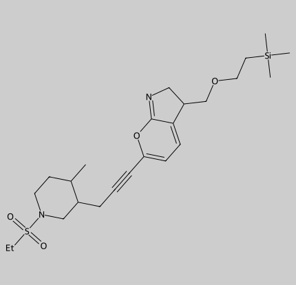 CCS(=O)(=O)N1CCC(C)C(CC#CC2=CC=C3C(=NCC3COCC[Si](C)(C)C)O2)C1